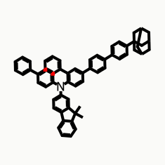 CC1(C)c2ccccc2-c2ccc(N(c3ccc(-c4ccccc4)cc3)c3ccc(-c4ccc(-c5ccc(C67CC8CC(CC(C8)C6)C7)cc5)cc4)cc3-c3ccccc3)cc21